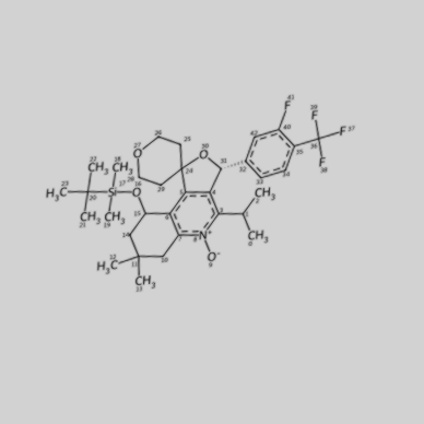 CC(C)c1c2c(c3c([n+]1[O-])CC(C)(C)CC3O[Si](C)(C)C(C)(C)C)C1(CCOCC1)O[C@@H]2c1ccc(C(F)(F)F)c(F)c1